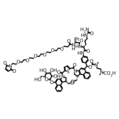 CC(C)[C@H](NC(=O)CCOCCOCCOCCOCCOCCOCCN1C(=O)C=CC1=O)C(=O)N[C@@H](CCCNC(N)=O)C(=O)Nc1ccc(C(OC(=O)N(C)CCN(C)C(=O)O)c2cc3c(c4ccccc24)[C@H](CCl)CN3C(=O)c2ccc(C(=O)N3C[C@@H](CCl)c4c3cc(O[C@@H]3O[C@@H](CO)[C@@H](O)[C@H](O)[C@@H]3O)c3ccccc43)s2)cc1